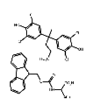 CC(CCC(=O)O)(c1cc(Cl)c(O)c(Cl)c1)c1cc(Cl)c(O)c(Cl)c1.CCCCC(NC(=O)OCC1c2ccccc2-c2ccccc21)C(=O)O